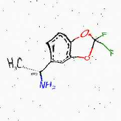 C[C@@H](N)c1ccc2c(c1)OC(F)(F)O2